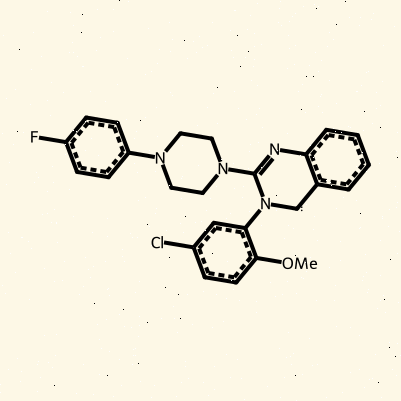 COc1ccc(Cl)cc1N1[C]c2ccccc2N=C1N1CCN(c2ccc(F)cc2)CC1